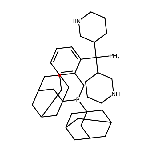 PC(c1ccccc1CP(C12CC3CC(CC(C3)C1)C2)C12CC3CC(CC(C3)C1)C2)(C1CCCNC1)C1CCCNC1